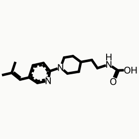 CC(C)=Cc1ccc(N2CCC(CCNC(=O)O)CC2)nc1